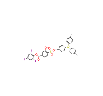 Cc1ccc([S+](c2ccc(C)cc2)c2ccc(C)cc2)cc1.O=C(Oc1c(I)cc(I)cc1I)c1ccc(S(=O)(=O)[O-])c(O)c1